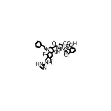 O=C(NCC(NS(=O)(=O)c1c(Cl)cccc1Cl)C(=O)O)c1cn(CCc2ccccc2)c2c(F)c(CNc3ncc[nH]3)c(F)cc2c1=O